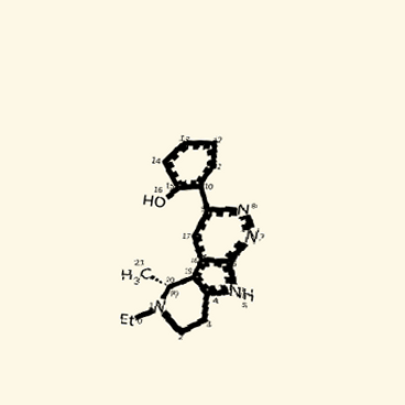 CCN1CCc2[nH]c3nnc(-c4ccccc4O)cc3c2[C@H]1C